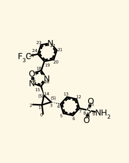 CC1(C)[C@@H](c2ccc(S(N)(=O)=O)cc2)[C@@H]1c1noc(-c2ccncc2C(F)(F)F)n1